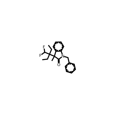 CCC(CC)([C](F)F)C1(C)C(=O)N(Cc2ccccc2)c2ccccc21